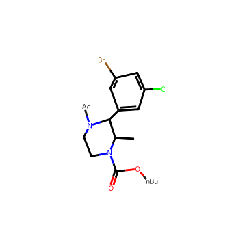 CCCCOC(=O)N1CCN(C(C)=O)C(c2cc(Cl)cc(Br)c2)C1C